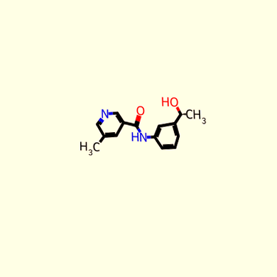 Cc1cncc(C(=O)Nc2cccc([C@@H](C)O)c2)c1